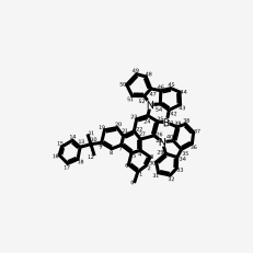 Cc1ccc2c(c1)c1cc(C(C)(C)c3ccccc3)ccc1c1cc3c4c(c21)-n1c2ccccc2c2cccc(c21)B4c1cccc2c4ccccc4n-3c12